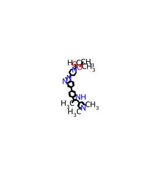 Cc1cc(-c2[nH]c3cc(-c4ccc5c(c4)ncn5C4CCN(C(=O)OC(C)(C)C)CC4)ccc3c2C)cc(C)n1